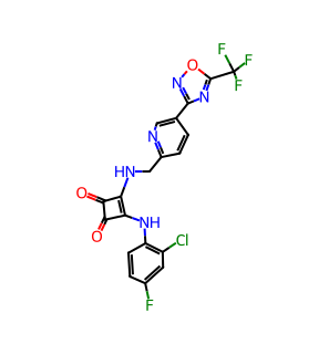 O=c1c(NCc2ccc(-c3noc(C(F)(F)F)n3)cn2)c(Nc2ccc(F)cc2Cl)c1=O